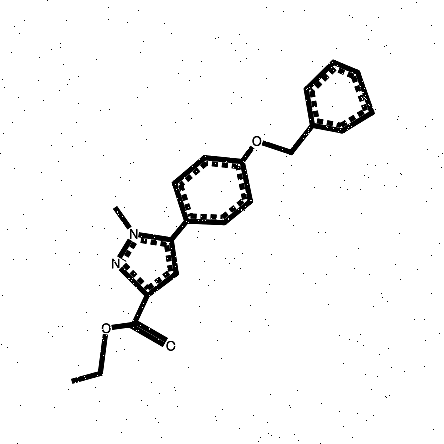 CCOC(=O)c1cc(-c2ccc(OCc3ccccc3)cc2)n(C)n1